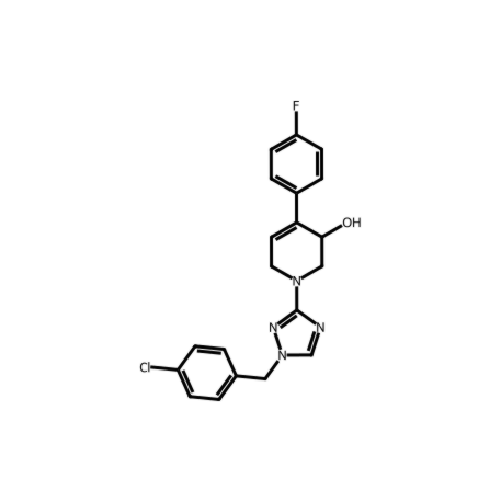 OC1CN(c2ncn(Cc3ccc(Cl)cc3)n2)CC=C1c1ccc(F)cc1